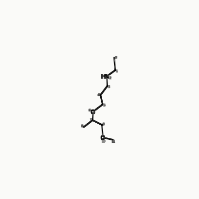 CCNCCCOC(C)COC